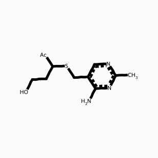 CC(=O)C(CCO)SCc1cnc(C)nc1N